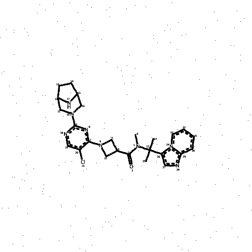 CN(C(=O)C1CN(c2nc(N3CC4CCC(C3)N4)ncc2Cl)C1)C(C)(C)c1cnc2ccccn12